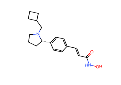 O=C(/C=C/c1ccc([C@@H]2CCCN2CC2CCC2)cc1)NO